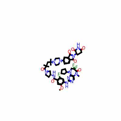 COc1cc(C(=O)N[C@H]2CCN(C(=O)C(C)(C)CC(C)(C)N3CCN(c4ccc5c(c4)C(=O)N(C4CCC(=O)NC4=O)C5=O)CC3)C2)c(F)cc1Nc1ncc2c(n1)N(C1CCCC1)CC(F)(F)C(=O)N2C